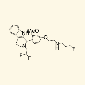 COc1cc(OCCNCCCF)ccc1C1c2[nH]c3ccccc3c2CCN1CC(F)F